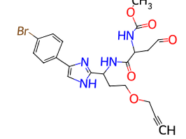 C#CCOCCC(NC(=O)C(CC=O)NC(=O)OC)c1nc(-c2ccc(Br)cc2)c[nH]1